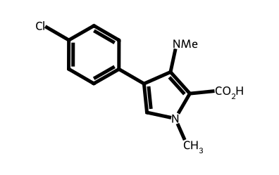 CNc1c(-c2ccc(Cl)cc2)cn(C)c1C(=O)O